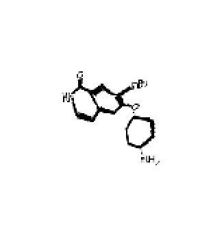 CCCCc1cc2c(=O)[nH]ccc2cc1O[C@H]1CC[C@@H](N)CC1